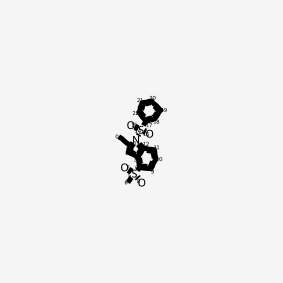 Cc1cc2c(S(C)(=O)=O)cccc2n1S(=O)(=O)c1ccccc1